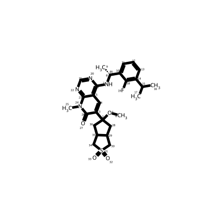 COC1(c2cc3c(N[C@H](C)c4cccc(C(C)C)c4F)ncnc3n(C)c2=O)CC2CS(=O)(=O)CC2C1